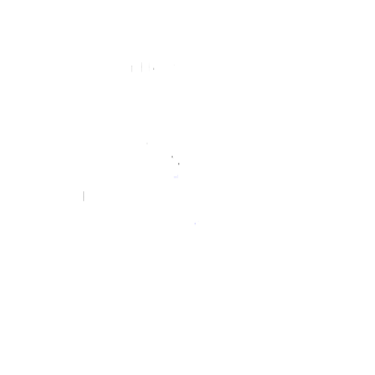 CCCCCCC[C@@H](O)CO/N=C(/C=C/c1ccc(Cl)cc1)CCC(C)C